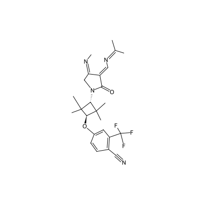 C/N=C1/CN([C@H]2C(C)(C)[C@H](Oc3ccc(C#N)c(C(F)(F)F)c3)C2(C)C)C(=O)/C1=C/N=C(C)C